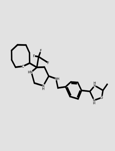 CC1NC(c2ccc(CNC3CC(C4CCCCCCC4)(C(F)(F)F)NCN3)cc2)NO1